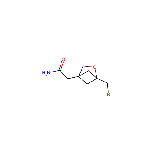 NC(=O)CC12COC(CBr)(C1)C2